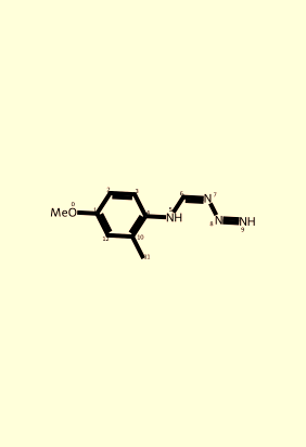 COc1ccc(N/C=N\N=N)c(C)c1